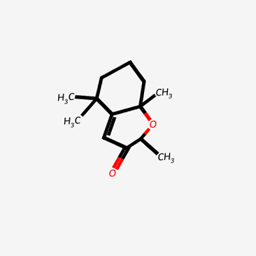 CC1OC2(C)CCCC(C)(C)C2=CC1=O